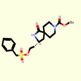 CC(C)(C)OC(=O)N1CCC2(CC1)C[C@H](CCOS(=O)(=O)Cc1ccccc1)NC2=O